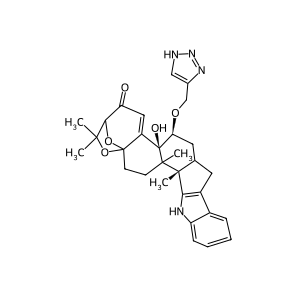 CC1(C)OC23CCC4(C)[C@@]5(C)c6[nH]c7ccccc7c6CC5C[C@H](OCc5c[nH]nn5)[C@@]4(O)C2=CC(=O)C1O3